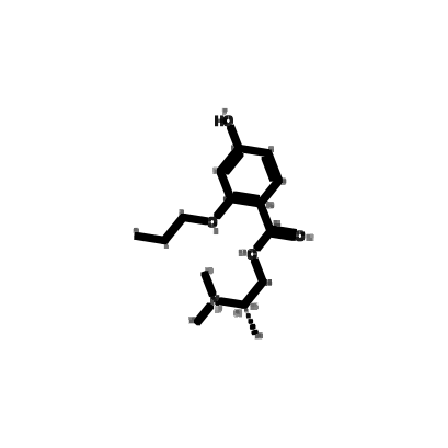 CCCOc1cc(O)ccc1C(=O)OC[C@H](C)N(C)C